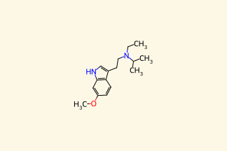 CCN(CCc1c[nH]c2cc(OC)ccc12)C(C)C